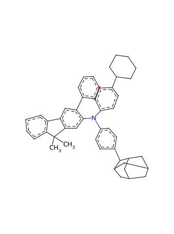 CC1(C)c2ccccc2-c2cc(-c3ccccc3)c(N(c3ccc(C4CCCCC4)cc3)c3ccc(C4C5CC6CC(C5)CC4C6)cc3)cc21